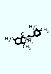 Cc1ccc(CCNC(=O)C2CC(C)CCC2C(C)C)cc1C